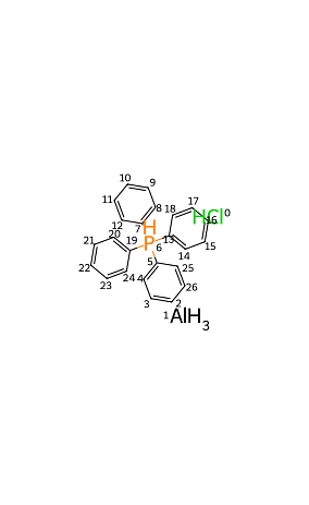 Cl.[AlH3].c1ccc([PH](c2ccccc2)(c2ccccc2)c2ccccc2)cc1